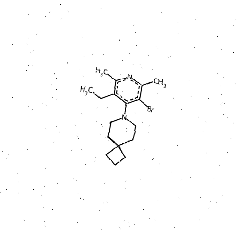 CCc1c(C)nc(C)c(Br)c1N1CCC2(CCC2)CC1